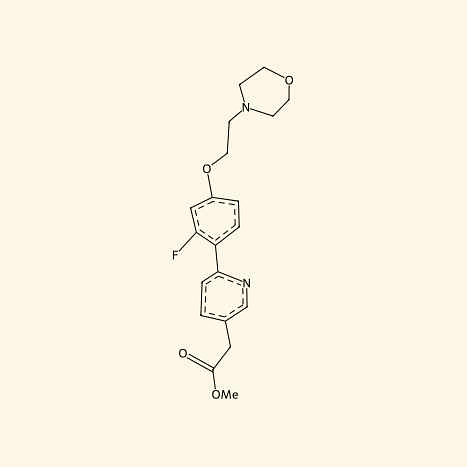 COC(=O)Cc1ccc(-c2ccc(OCCN3CCOCC3)cc2F)nc1